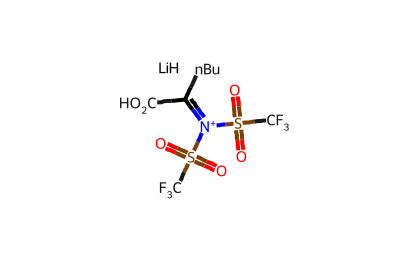 CCCCC(C(=O)O)=[N+](S(=O)(=O)C(F)(F)F)S(=O)(=O)C(F)(F)F.[LiH]